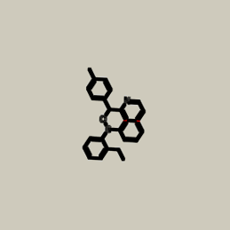 CCc1ccccc1B(OC(c1ccc(C)cc1)c1ccccn1)c1ccccc1